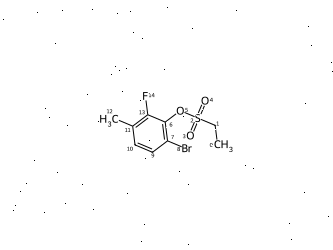 CCS(=O)(=O)Oc1c(Br)ccc(C)c1F